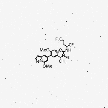 CCN(C(=O)N[C@@H](CCC(F)(F)F)C(F)(F)F)[C@H](C)c1cc(-c2cc(OC)n3nccc3c2)c(OC)cn1